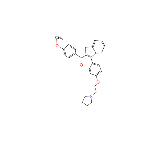 COc1ccc(C(=O)C2=C(c3ccc(OCCN4CCCC4)cc3)c3ccccc3C2)cc1